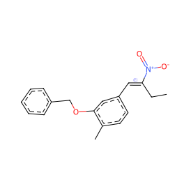 CC/C(=C\c1ccc(C)c(OCc2ccccc2)c1)[N+](=O)[O-]